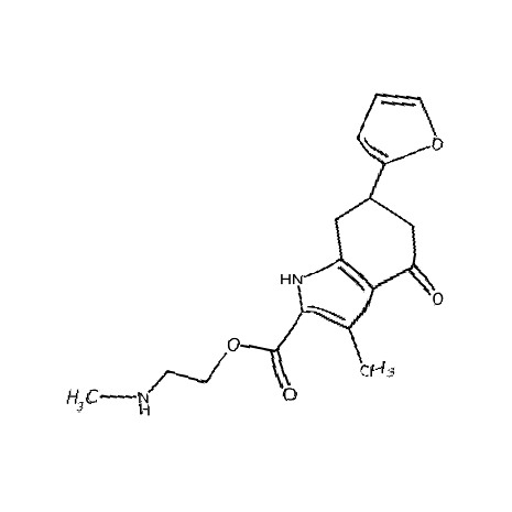 CNCCOC(=O)c1[nH]c2c(c1C)C(=O)CC(c1ccco1)C2